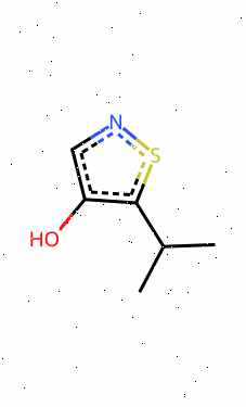 CC(C)c1sncc1O